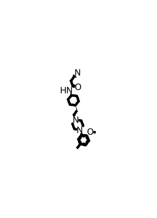 COc1ccc(C)cc1N1CCN(CC[C@H]2CC[C@H](NC(=O)CC#N)CC2)CC1